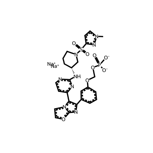 Cn1ccc(S(=O)(=O)N2CCC[C@@H](Nc3nccc(-c4c(-c5cccc(OCOP(=O)([O-])[O-])c5)nc5occn45)n3)C2)n1.[Na+].[Na+]